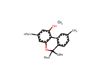 C.CCCCCc1cc(O)c2c(c1)OC(SC)(SC)c1ccc(C)cc1-2